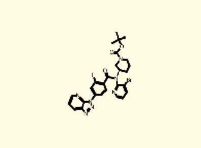 CC(C)(C)OC(=O)N1CCC[C@@H](N(C(=O)c2ccc(-n3nnc4cccnc43)cc2F)c2ncccc2Br)C1